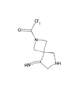 N=C1CNCC12CN(C(=O)C(F)(F)F)C2